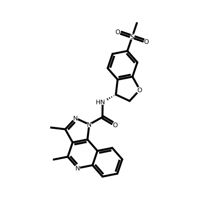 Cc1nc2ccccc2c2c1c(C)nn2C(=O)N[C@H]1COc2cc(S(C)(=O)=O)ccc21